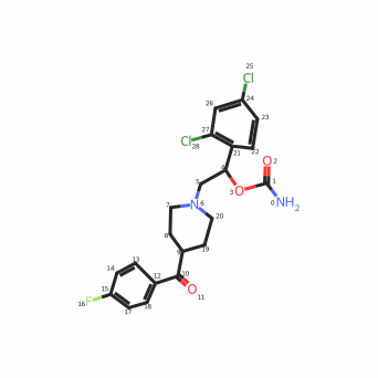 NC(=O)OC(CN1CCC(C(=O)c2ccc(F)cc2)CC1)c1ccc(Cl)cc1Cl